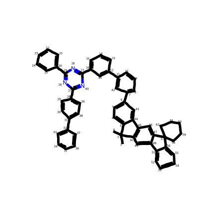 CC1(C)c2ccc(-c3cccc(-c4cccc(-c5nc(-c6ccccc6)nc(-c6ccc(-c7ccccc7)cc6)n5)c4)c3)cc2-c2cc3c(cc21)-c1ccccc1C31CCCCC1